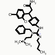 CCCC/N=C(/Nc1ccc(C(CC(N)=O)c2ccc(Cl)cc2Cl)cc1)N(CCN(C)C)Cc1ccccc1